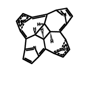 C1=CC2=C3c4ccc([nH]4)C4=C5C=CC(=N5)C5=c6ccc([nH]6)=C(C1=N2)[C@@H]1[C@H]3[C@H]4[C@H]51